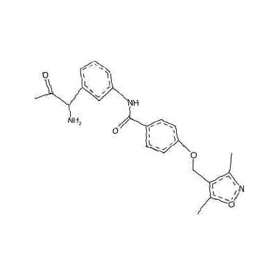 CC(=O)C(N)c1cccc(NC(=O)c2ccc(OCc3c(C)noc3C)cc2)c1